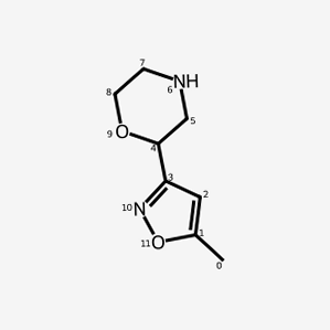 Cc1cc(C2CNCCO2)no1